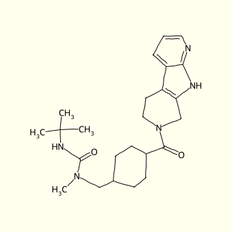 CN(CC1CCC(C(=O)N2CCc3c([nH]c4ncccc34)C2)CC1)C(=O)NC(C)(C)C